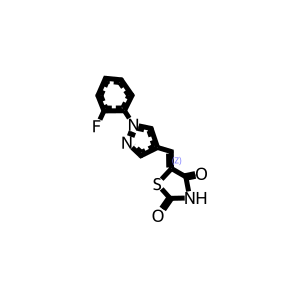 O=C1NC(=O)/C(=C/c2cnn(-c3ccccc3F)c2)S1